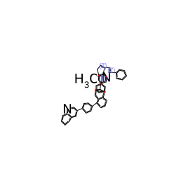 CC1C/C=C(c2ccc(-c3ccc4c(-c5ccc(-c6cnc7ccccc7c6)cc5)cccc4c3)cc2)/C=C(c2ccccc2)\N=C/1c1ccccc1